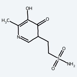 CC1=C(O)C(=O)C(CCS(N)(=O)=O)C=N1